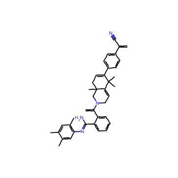 C=C(C#N)c1ccc(C2=CCC3(C)CN(C(=C)c4ccccc4/C(N)=N/c4cc(C)c(C)cc4C)CC=C3C2(C)C)cc1